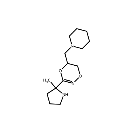 CC1(C2=NOCC(CN3CCCCC3)O2)CCCN1